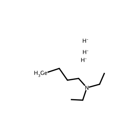 CCN(CC)CC[CH2][GeH3].[H-].[H-].[H-]